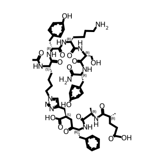 CC(=O)N[C@@H](CCCCn1cc(C[C@@H](CC(=O)[C@@H](Cc2ccccc2)NC(=O)[C@@H](C)NC(=O)[C@H](C)CCC(=O)O)C(=O)O)nn1)C(=O)N[C@H](Cc1ccc(O)cc1)C(=O)N[C@H](CCCCN)C(=O)N[C@H](CO)C(=O)N[C@H](Cc1ccc(O)cc1)C(N)=O